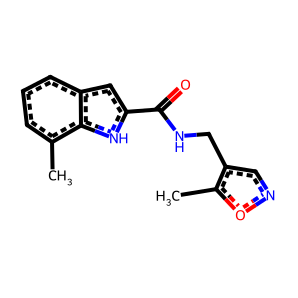 Cc1oncc1CNC(=O)c1cc2cccc(C)c2[nH]1